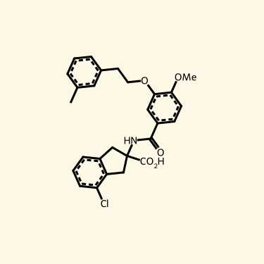 COc1ccc(C(=O)NC2(C(=O)O)Cc3cccc(Cl)c3C2)cc1OCCc1cccc(C)c1